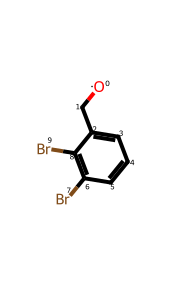 [O]Cc1cccc(Br)c1Br